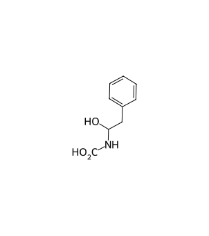 O=C(O)NC(O)Cc1ccccc1